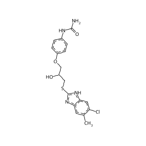 Cc1cc2nc(SCC(O)COc3ccc(NC(N)=O)cc3)[nH]c2cc1Cl